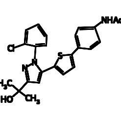 CC(=O)Nc1ccc(-c2ccc(-c3cc(C(C)(C)O)nn3-c3ccccc3Cl)s2)cc1